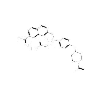 C=C(C)N1CCC(Oc2ccc(N(Cc3ccc4ccc(C(=N)N)cc4c3)S(=O)(=O)CC(=O)O)cc2)CC1